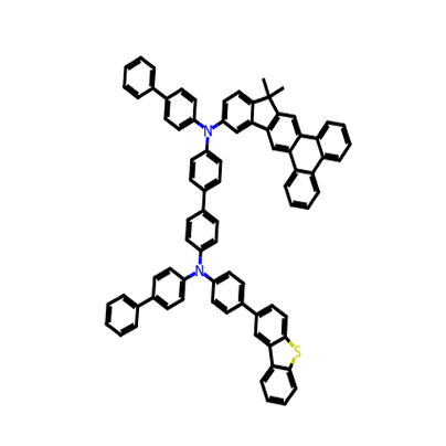 CC1(C)c2ccc(N(c3ccc(-c4ccccc4)cc3)c3ccc(-c4ccc(N(c5ccc(-c6ccccc6)cc5)c5ccc(-c6ccc7sc8ccccc8c7c6)cc5)cc4)cc3)cc2-c2cc3c4ccccc4c4ccccc4c3cc21